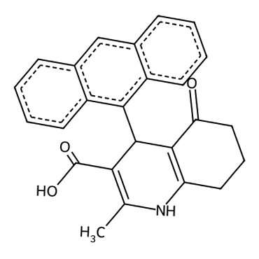 CC1=C(C(=O)O)C(c2c3ccccc3cc3ccccc23)C2=C(CCCC2=O)N1